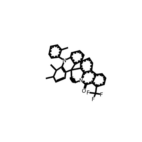 Cc1ccccc1N1C2=C(C=CC(C)C2C)C2(c3ccccc31)c1ccccc1-n1c(=O)c3c(C(F)(F)F)cccc3c3cccc2c31